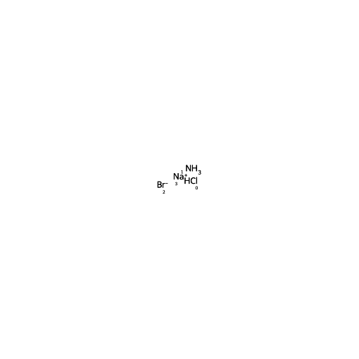 Cl.N.[Br-].[Na+]